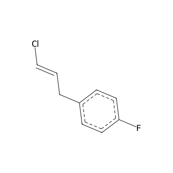 Fc1ccc(CC=CCl)cc1